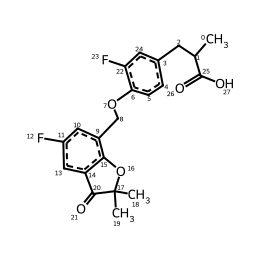 CC(Cc1ccc(OCc2cc(F)cc3c2OC(C)(C)C3=O)c(F)c1)C(=O)O